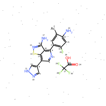 CC(=O)c1cc(-c2ncc(-c3cn[nH]c3)c3snc(N)c23)c(F)cc1N.O=C(O)C(F)(F)F